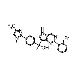 CC(C)c1ccccc1-c1ncc2[nH]cc(C(C)(O)c3ccc(-c4nc(C(F)(F)F)cn4C)cc3)c2n1